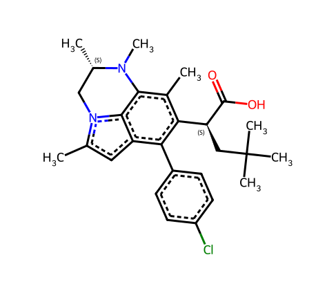 Cc1c([C@H](CC(C)(C)C)C(=O)O)c(-c2ccc(Cl)cc2)c2cc(C)n3c2c1N(C)[C@@H](C)C3